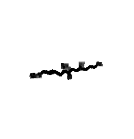 CNCCCC[C@H](N)C(=O)CCNCCCC(C)=O